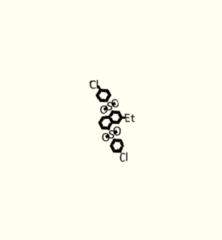 CCc1cc(S(=O)(=O)c2ccc(Cl)cc2)c2cccc(S(=O)(=O)c3ccc(Cl)cc3)c2c1